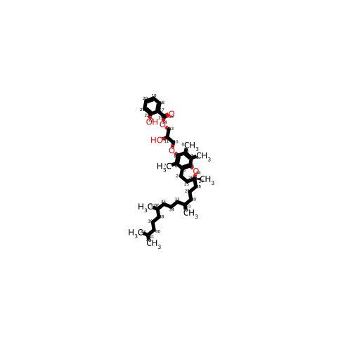 Cc1c(C)c2c(c(C)c1OCC(O)COC(=O)c1ccccc1O)CC[C@@](C)(CCCC(C)CCCC(C)CCCC(C)C)O2